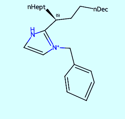 CCCCCCCCCCCC[C@H](CCCCCCC)c1[nH]cc[n+]1Cc1ccccc1